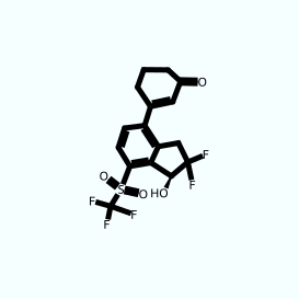 O=C1C=C(c2ccc(S(=O)(=O)C(F)(F)F)c3c2CC(F)(F)[C@H]3O)CCC1